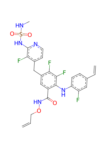 C=CCONC(=O)c1cc(Cc2ccnc(NS(=O)(=O)NC)c2F)c(F)c(F)c1Nc1ccc(C=C)cc1F